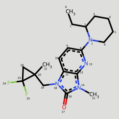 CCC1CCCCN1c1ccc2c(n1)n(C)c(=O)n2CC1(C)CC1(F)F